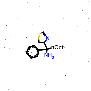 CCCCCCC[CH]C(N)(c1ccccc1)C1CSC=N1